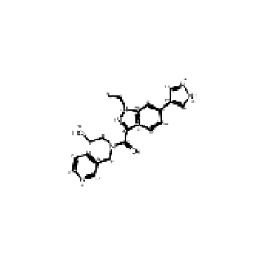 CCn1nc(C(=O)N(CCO)Cc2cccnc2)c2ccc(-c3cn[nH]c3)cc21